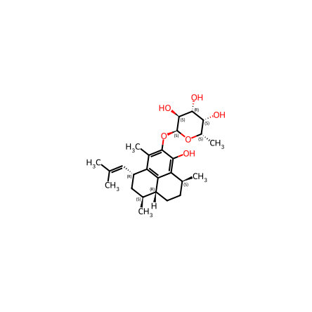 CC(C)=C[C@H]1C[C@H](C)[C@H]2CC[C@H](C)c3c(O)c(O[C@@H]4O[C@@H](C)[C@@H](O)[C@@H](O)[C@@H]4O)c(C)c1c32